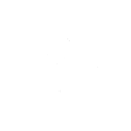 Cl.N#CC(c1ccccc1)c1ccccc1